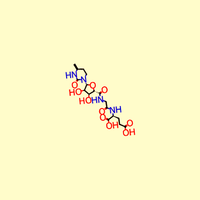 C=C1CCN([C@@H]2O[C@H](C(=O)NCC(=O)N[C@@H](CCC(=O)O)C(=O)O)[C@@H](O)[C@H]2O)C(=O)N1